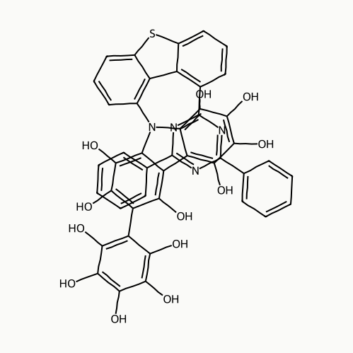 Oc1c(O)c(O)c(-c2c(O)c(O)c3c(c2O)c2c(O)c(O)c(O)c(O)c2n3-c2cccc3sc4cccc(-c5nc(-c6ccccc6)nc(-c6ccccc6)n5)c4c23)c(O)c1O